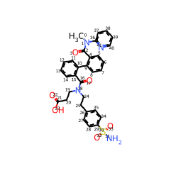 CN(C(=O)c1ccccc1-c1ccccc1C(=O)N(CCC(=O)O)CCc1ccc(S(N)(=O)=O)cc1)c1ccccn1